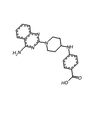 Nc1nc(N2CCC(Nc3ccc(C(=O)O)cc3)CC2)nc2ccccc12